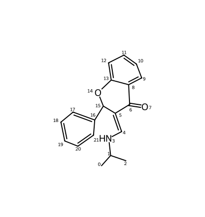 CC(C)NC=C1C(=O)c2ccccc2OC1c1ccccc1